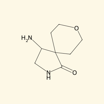 NC1CNC(=O)C12CCOCC2